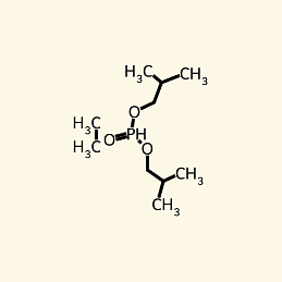 CC.CC(C)CO[PH](=O)OCC(C)C